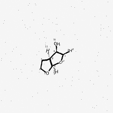 [2H]C1O[C@@]2([2H])OCC[C@H]2[C@H]1O